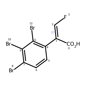 O=C(O)/C(=C\F)c1ccc(Br)c(Br)c1Br